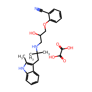 Cc1[nH]c2ccccc2c1CC(C)(C)NCC(O)COc1ccccc1C#N.O=C(O)C(=O)O